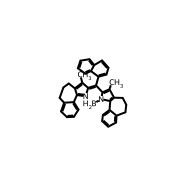 Bn1c(/C(=C2\N=C3C(=C2C)CCCc2ccccc23)c2cccc3ccccc23)c(C)c2c1-c1ccccc1CCC2